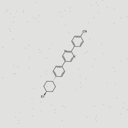 CC[C@H]1CC[C@H](c2ccc(-c3cnc(-c4ccc(C#N)cc4)nc3)cc2)CC1